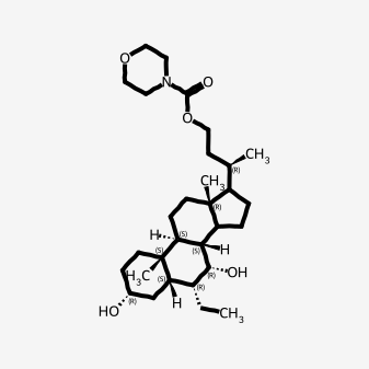 CC[C@H]1[C@@H](O)[C@H]2C3CCC([C@H](C)CCOC(=O)N4CCOCC4)[C@@]3(C)CC[C@@H]2[C@@]2(C)CC[C@@H](O)C[C@@H]12